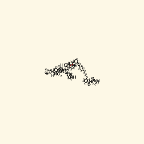 O=C1CCC(N2Cc3c(CCCCCN4CCC(COc5cccc(-c6ccc(Cl)cc6)c5CN5CCN(c6ccc(C(=O)NS(=O)(=O)c7ccc(NCC8CCOCC8)c([N+](=O)[O-])c7)c(Oc7cnc8[nH]ccc8c7)c6)CC5)CC4)cccc3C2=O)C(=O)N1